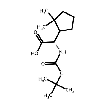 CC(C)(C)OC(=O)N[C@H](C(=O)O)C1CCCC1(C)C